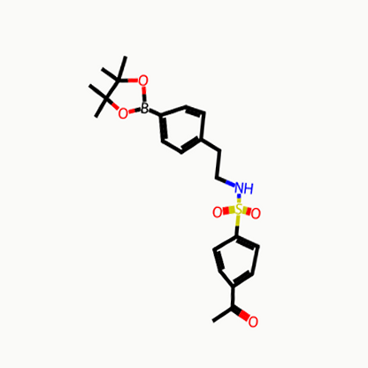 CC(=O)c1ccc(S(=O)(=O)NCCc2ccc(B3OC(C)(C)C(C)(C)O3)cc2)cc1